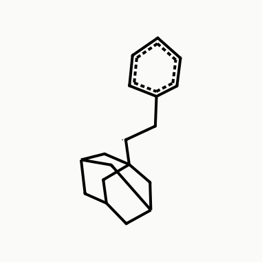 [CH](Cc1ccccc1)C12CC3CC(CC(C3)C1)C2